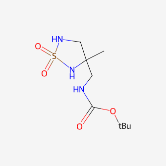 CC1(CNC(=O)OC(C)(C)C)CNS(=O)(=O)N1